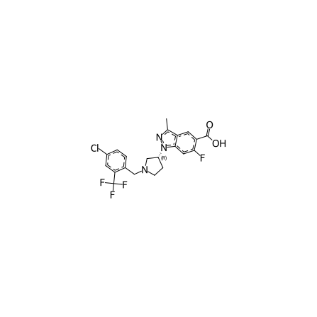 Cc1nn([C@@H]2CCN(Cc3ccc(Cl)cc3C(F)(F)F)C2)c2cc(F)c(C(=O)O)cc12